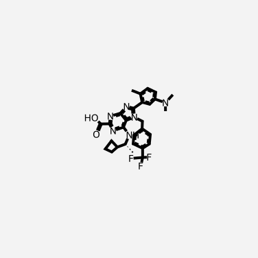 Cc1ccc(N(C)C)cc1-c1nc2nc(C(=O)O)nc(N[C@H](C)C3CCC3)c2n1Cc1ccc(C(F)(F)F)cc1